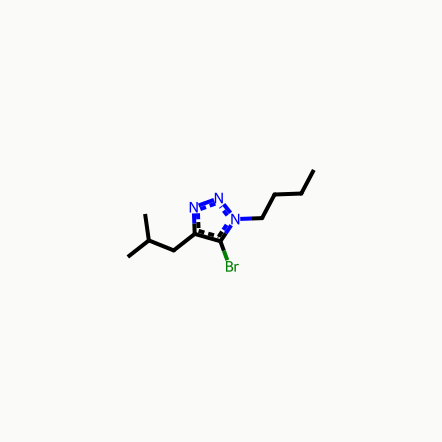 CCCCn1nnc(CC(C)C)c1Br